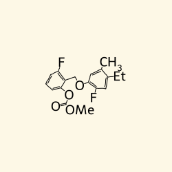 CCc1cc(F)c(OCc2c(F)cccc2OC(=O)OC)cc1C